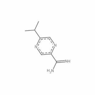 CC(C)c1cnc(C(=N)N)cn1